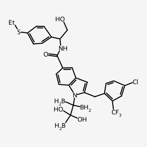 BC(O)(O)C(B)(B)n1c(Cc2ccc(Cl)cc2C(F)(F)F)cc2cc(C(=O)NC(CO)c3ccc(SCC)cc3)ccc21